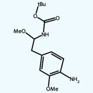 COc1cc(CC(NC(=O)OC(C)(C)C)OC)ccc1N